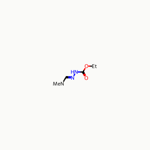 CCOC(=O)N/N=C/NC